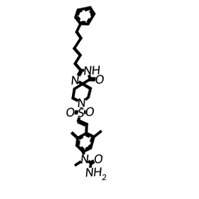 Cc1cc(N(C)C(N)=O)cc(C)c1C=CS(=O)(=O)N1CCC2(CC1)N=C(CCCCCc1ccccc1)NC2=O